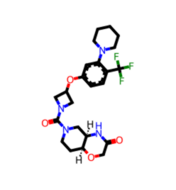 O=C1CO[C@H]2CCN(C(=O)N3CC(Oc4ccc(C(F)(F)F)c(N5CCCCC5)c4)C3)C[C@H]2N1